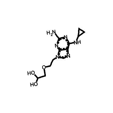 Nc1nc(NC2CC2)c2ncn(CCOCC(O)O)c2n1